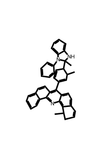 CC1CC=Cc2ccc3c(C4=CC(C)C(C5(C)Nc6ccccc6N5c5ccccc5)C=C4)c4ccc5ccccc5c4nc3c21